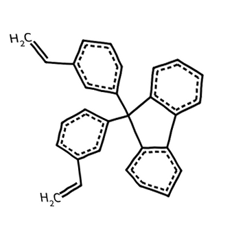 C=Cc1cccc(C2(c3cccc(C=C)c3)c3ccccc3-c3ccccc32)c1